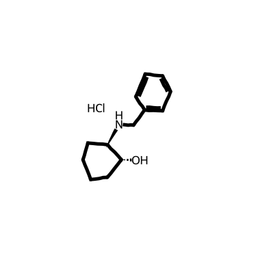 Cl.O[C@@H]1CCCC[C@H]1NCc1ccccc1